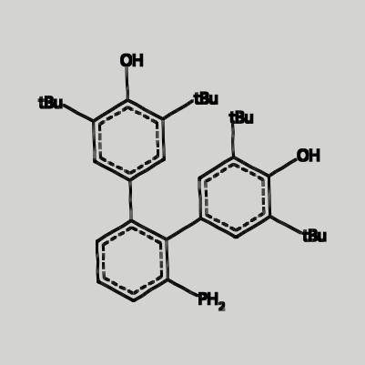 CC(C)(C)c1cc(-c2cccc(P)c2-c2cc(C(C)(C)C)c(O)c(C(C)(C)C)c2)cc(C(C)(C)C)c1O